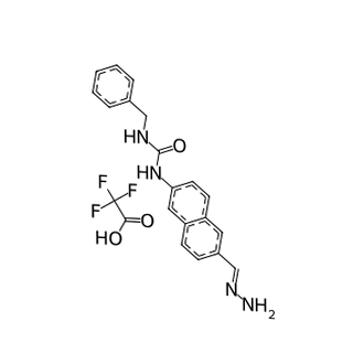 NN=Cc1ccc2cc(NC(=O)NCc3ccccc3)ccc2c1.O=C(O)C(F)(F)F